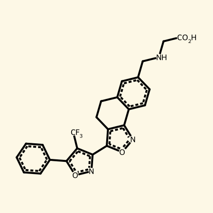 O=C(O)CNCc1ccc2c(c1)CCc1c-2noc1-c1noc(-c2ccccc2)c1C(F)(F)F